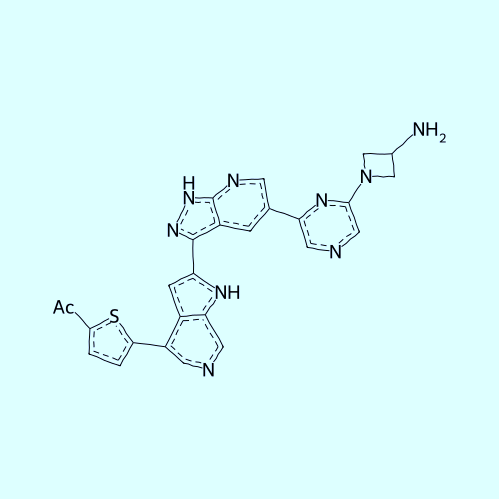 CC(=O)c1ccc(-c2cncc3[nH]c(-c4n[nH]c5ncc(-c6cncc(N7CC(N)C7)n6)cc45)cc23)s1